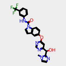 Cn1ccnc1C(O)c1cc(Oc2ccc3c(ccn3C(=O)Nc3cccc(C(F)(F)F)c3)c2)ncn1